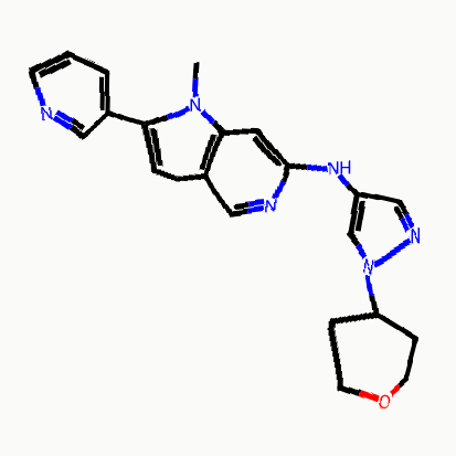 Cn1c(-c2cccnc2)cc2cnc(Nc3cnn(C4CCOCC4)c3)cc21